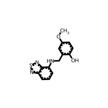 COc1ccc(O)c(CNc2cccc3nsnc23)c1